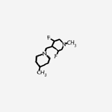 CC1CCN(CC2C(F)CN(C)CC2F)CC1